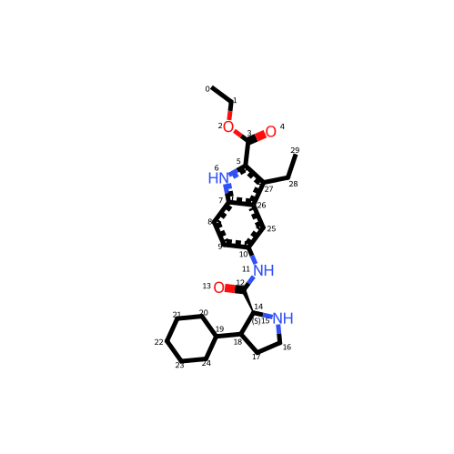 CCOC(=O)c1[nH]c2ccc(NC(=O)[C@H]3NCCC3C3CCCCC3)cc2c1CC